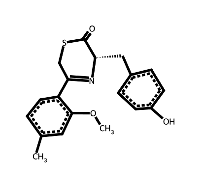 COc1cc(C)ccc1C1=N[C@@H](Cc2ccc(O)cc2)C(=O)SC1